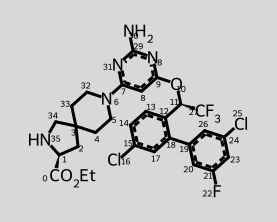 CCOC(=O)[C@@H]1CC2(CCN(c3cc(O[C@H](c4ccc(Cl)cc4-c4cc(F)cc(Cl)c4)C(F)(F)F)nc(N)n3)CC2)CN1